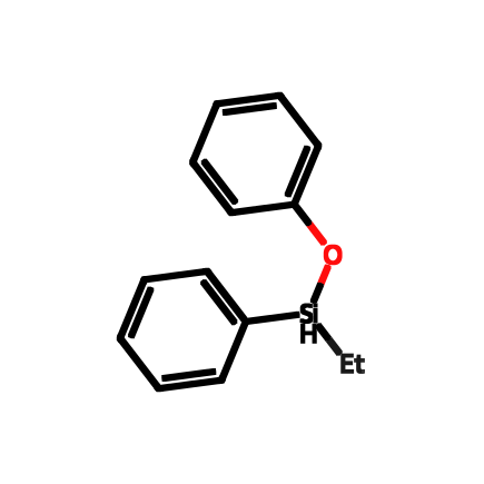 CC[SiH](Oc1ccccc1)c1ccccc1